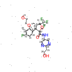 COCCOc1c([C@H]2[C@@H](C)[C@@](C)(C(F)(F)F)O[C@H]2C(=O)Nc2cnc(CCO)nc2)ccc(F)c1C